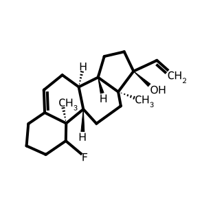 C=C[C@@]1(O)CC[C@H]2[C@@H]3CC=C4CCCC(F)[C@]4(C)[C@H]3CC[C@@]21C